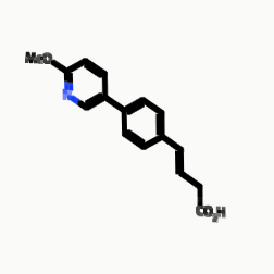 COc1ccc(-c2ccc(/C=C/CC(=O)O)cc2)cn1